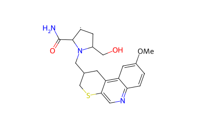 COc1ccc2ncc3c(c2c1)CC(CN1C(CO)C[CH]C1C(N)=O)CS3